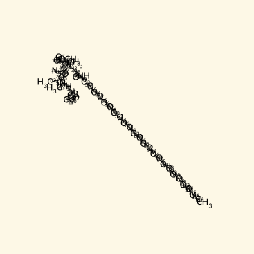 CCCC1=CC(C)(C)N(CCCCCC(=O)ON2C(=O)CCC2=O)c2cc3c(cc21)C(C#N)=c1cc2c(cc1O3)=[N+](CCCCCC(=O)NCCOCCOCCOCCOCCOCCOCCOCCOCCOCCOCCOCCOCCOCCOCCOCCOCCOCCOCCOCCOCCOCCOCCOCCOC)C(C)(C)C=C2CS(=O)(=O)[O-]